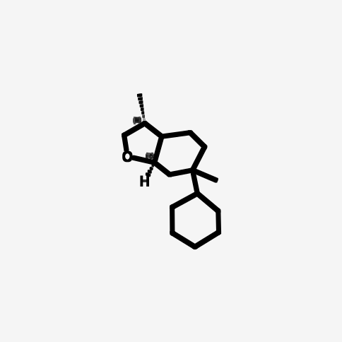 C[C@H]1CO[C@@H]2CC(C)(C3CCCCC3)CCC12